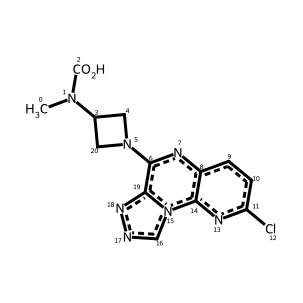 CN(C(=O)O)C1CN(c2nc3ccc(Cl)nc3n3cnnc23)C1